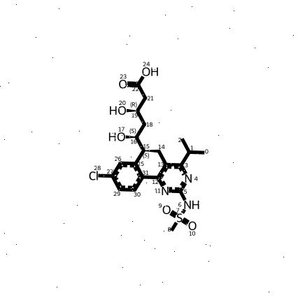 CC(C)c1nc(NS(C)(=O)=O)nc2c1C[C@H]([C@@H](O)C[C@@H](O)CC(=O)O)c1cc(Cl)ccc1-2